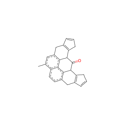 Cc1cc2c3c4c5c(ccc14)CC1=C(CC=C1)C5C(=O)C3C1=C(C=CC1)C2